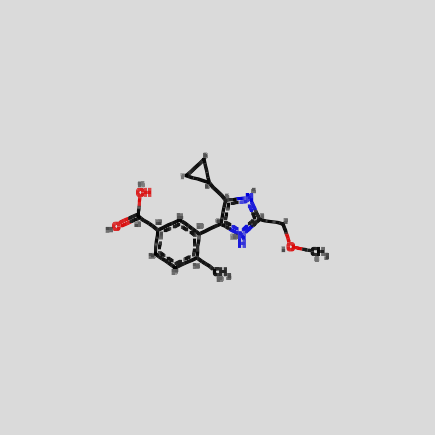 COCc1nc(C2CC2)c(-c2cc(C(=O)O)ccc2C)[nH]1